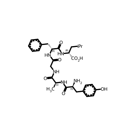 CC(C)C[C@@H](NC(=O)[C@@H](Cc1ccccc1)NC(=O)CNC(=O)[C@H](C)NC(=O)[C@@H](N)Cc1ccc(O)cc1)C(=O)O